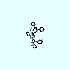 c1ccc(C2=NC(c3cc(-c4ccccc4)c4c(c3)sc3ccccc34)=NC(c3cc(-c4ccccc4)cc(-c4ccccc4)c3)N2)cc1